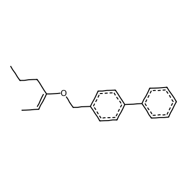 CC=C(CCC)OCc1ccc(-c2ccccc2)cc1